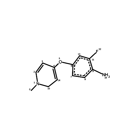 CN1C=CC(Oc2ccc(N)c(F)c2)=CC1